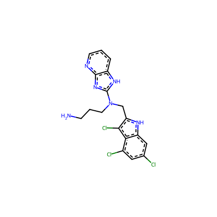 NCCCN(Cc1[nH]c2cc(Cl)cc(Cl)c2c1Cl)c1nc2ncccc2[nH]1